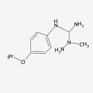 CC(C)Oc1ccc(NC(N)N(C)N)cc1